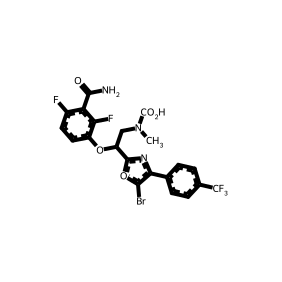 CN(CC(Oc1ccc(F)c(C(N)=O)c1F)c1nc(-c2ccc(C(F)(F)F)cc2)c(Br)o1)C(=O)O